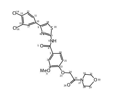 COc1cc(C(=O)Nc2nc(-c3ccc(Cl)c(Cl)c3)cs2)ccc1OCC(=O)N1CCOCC1